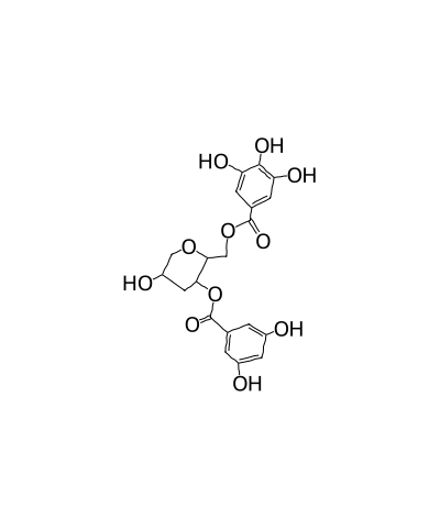 O=C(OCC1OCC(O)CC1OC(=O)c1cc(O)cc(O)c1)c1cc(O)c(O)c(O)c1